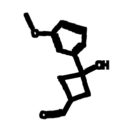 COc1cccc(C2(O)CC(C=O)C2)c1